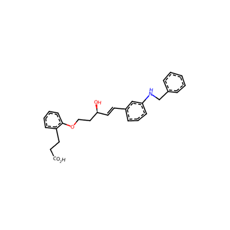 O=C(O)CCc1ccccc1OCC[C@@H](O)/C=C/c1cccc(NCc2ccccc2)c1